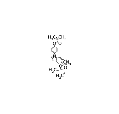 C=C[C@H]1OC2(CCCC3=Cc4c(cnn4-c4ccc(OC(=O)N(C)C)cc4)C[C@@]32C)O[C@@H]1C=C